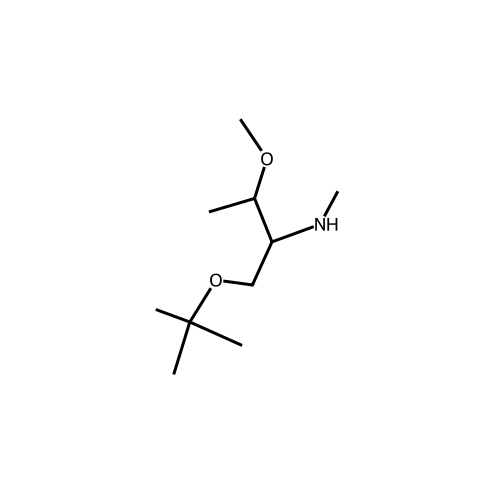 CNC(COC(C)(C)C)C(C)OC